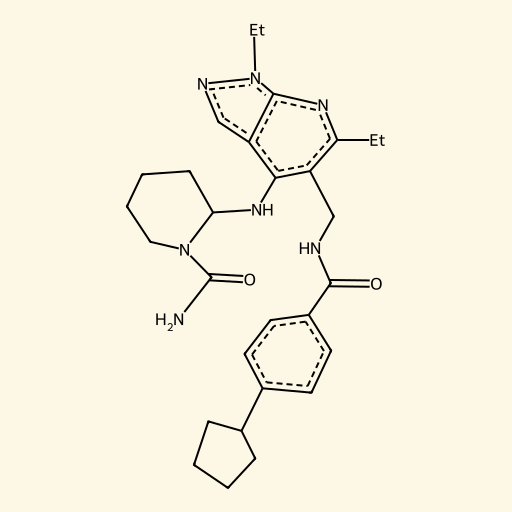 CCc1nc2c(cnn2CC)c(NC2CCCCN2C(N)=O)c1CNC(=O)c1ccc(C2CCCC2)cc1